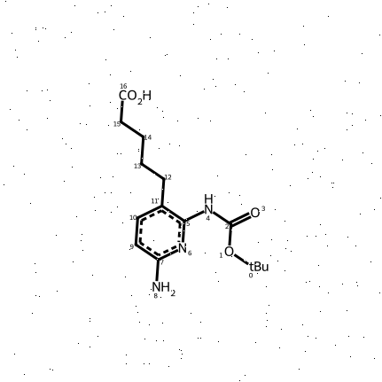 CC(C)(C)OC(=O)Nc1nc(N)ccc1CCCCC(=O)O